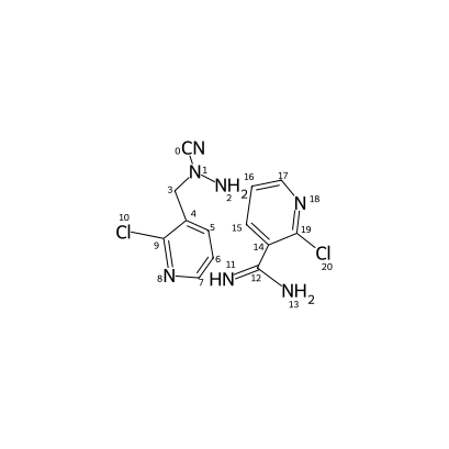 N#CN(N)Cc1cccnc1Cl.N=C(N)c1cccnc1Cl